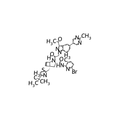 CC(=O)c1nn(CC(=O)N2[C@H](C(=O)Nc3nc(Br)ccc3C)C[C@@]3(Cc4nc(C(C)(C)C)cs4)C#C[C@@H]23)c2ccc(-c3cnc(C)nc3)cc12